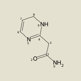 NC(=O)CC1=NC=CCN1